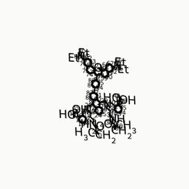 C=C(C)C(=O)NCCCN(Cc1ccccc1B(O)O)Cc1c2ccccc2c(CN(CCCNC(=O)C(=C)C)Cc2ccccc2B(O)O)c2cc(-c3ccc(-c4c5ccc6cc(N(CC)CC)ccc6c5oc5c4ccc4cc(=[N+](CC)CC)ccc45)cc3)ccc12